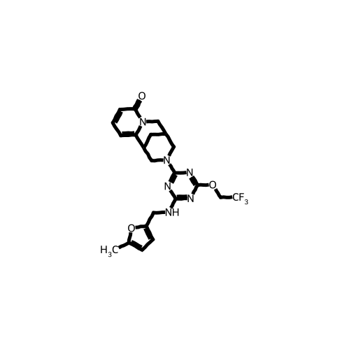 Cc1ccc(CNc2nc(OCC(F)(F)F)nc(N3CC4CC(C3)c3cccc(=O)n3C4)n2)o1